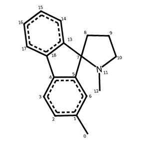 Cc1ccc2c(c1)C1(CCCN1C)c1ccccc1-2